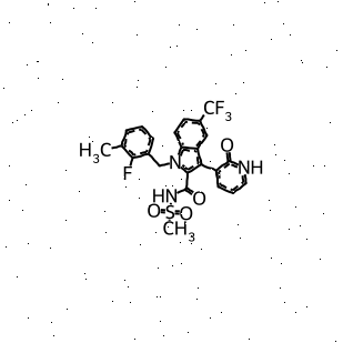 Cc1cccc(Cn2c(C(=O)NS(C)(=O)=O)c(-c3ccc[nH]c3=O)c3cc(C(F)(F)F)ccc32)c1F